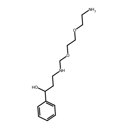 NCCOCCOCNCCC(O)c1ccccc1